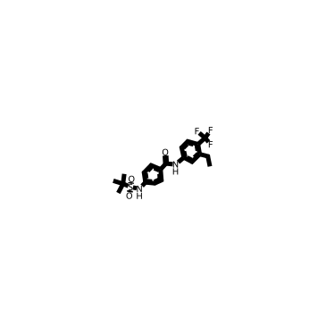 CCc1cc(NC(=O)c2ccc(NS(=O)(=O)C(C)(C)C)cc2)ccc1C(F)(F)F